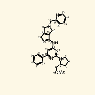 COC[C@@H]1CCCN1c1nc(NC2=NCC3=C2CN(Cc2ccccn2)C3)cc(-c2ccccc2)n1